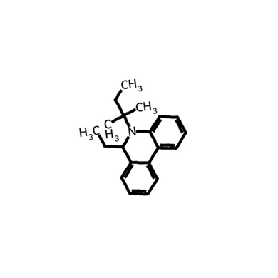 CCC1c2ccccc2-c2ccccc2N1C(C)(C)CC